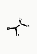 [CH2]CN(C[CH2])C(CC)CC